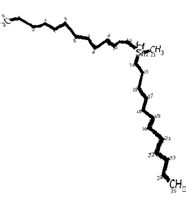 CCCCCCCCCCCC[SiH](C)CCCCCCCCCCCC